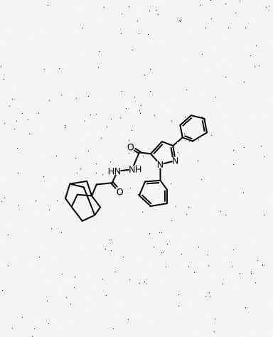 O=C(CC12CC3CC(CC(C3)C1)C2)NNC(=O)c1cc(-c2ccccc2)nn1-c1ccccc1